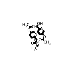 CC(C)Oc1ccc(CO)nc1.COC(=O)Cc1ccc(OC(C)C)cn1